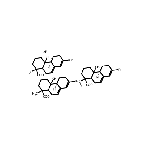 CC(C)C1=CC2=CCC3[C@](C)(CCC[C@]3(C)C(=O)[O-])[C@H]2CC1.CC(C)C1=CC2=CCC3[C@](C)(CCC[C@]3(C)C(=O)[O-])[C@H]2CC1.CC(C)C1=CC2=CCC3[C@](C)(CCC[C@]3(C)C(=O)[O-])[C@H]2CC1.[Al+3]